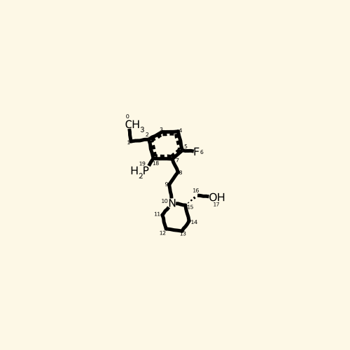 CCc1ccc(F)c(CCN2CCCC[C@H]2CO)c1P